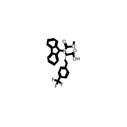 COC(=O)N(C1c2ccccc2-c2ccccc21)[C@@H](CCc1ccc(C(F)(F)F)cc1)C(=O)O